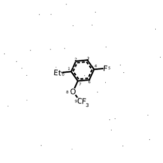 CCc1ccc(F)cc1OC(F)(F)F